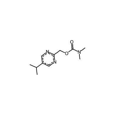 CC(C)c1cnc(COC(=O)N(C)C)nc1